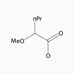 CCCC(OC)C([O])=O